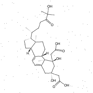 C[C@H](CCC(=O)C(C)(C)O)[C@H]1CC[C@H]2C3=CC=C4C[C@](O)(CC(=O)O)C[C@@](O)(CC(=O)O)[C@]4(C)[C@H]3CC[C@]12C